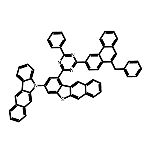 c1ccc(Cc2cc3ccccc3c3cc(-c4nc(-c5ccccc5)nc(-c5cc(-n6c7ccccc7c7cc8ccccc8cc76)cc6sc7cc8ccccc8cc7c56)n4)ccc23)cc1